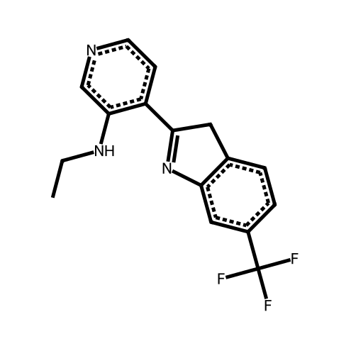 CCNc1cnccc1C1=Nc2cc(C(F)(F)F)ccc2C1